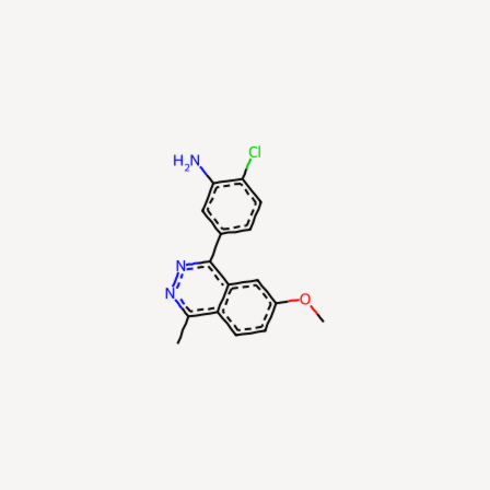 COc1ccc2c(C)nnc(-c3ccc(Cl)c(N)c3)c2c1